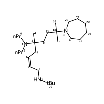 CCCN(CCC)C(C)(C/C=C\CNC(C)(C)C)CCC(C)(C)N1CCCCCC1